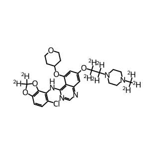 [2H]C1([2H])Oc2ccc(Cl)c(Nc3ncnc4cc(OC([2H])([2H])C([2H])([2H])N5CCN(C([2H])([2H])[2H])CC5)cc(OC5CCOCC5)c34)c2O1